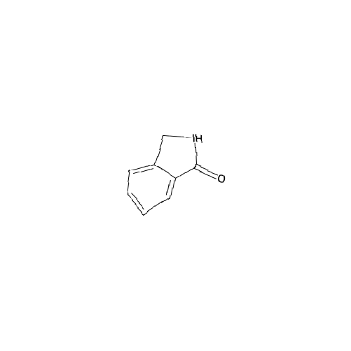 O=C1[IH]Cc2ccccc21